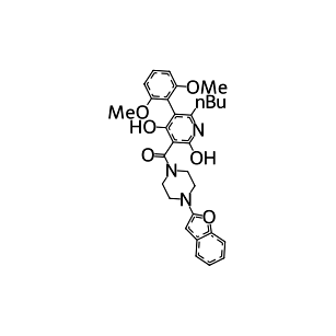 CCCCc1nc(O)c(C(=O)N2CCN(c3cc4ccccc4o3)CC2)c(O)c1-c1c(OC)cccc1OC